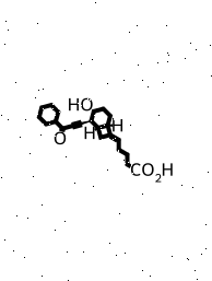 O=C(O)CCCC=C1C[C@@H]2[C@@H](C#CC(=O)C3CCCCC3)[C@H](O)CC[C@H]12